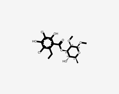 CCc1c(Cl)c(O)c(Cl)c(O)c1C(=O)O[C@@H]1[C@@H](O)[C@H](C)O[C@H](OC)[C@@H]1OC